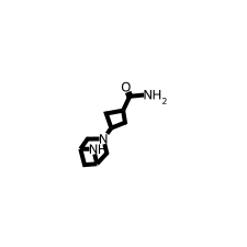 NC(=O)C1CC(N2CC3CC(C2)N3)C1